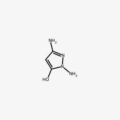 Nc1cc(O)n(N)n1